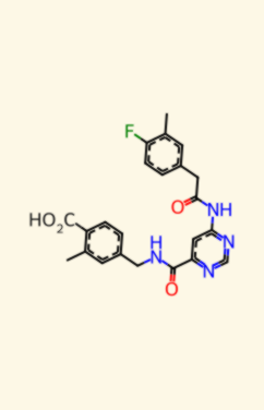 Cc1cc(CC(=O)Nc2cc(C(=O)NCc3ccc(C(=O)O)c(C)c3)ncn2)ccc1F